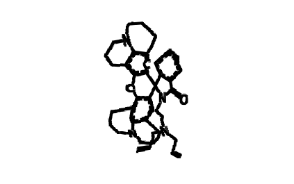 C=CCN(CC=C)CCN1C(=O)c2ccccc2C12c1cc3c4c(c1Oc1c2cc2c5c1CCCN5CCC2)CCCN4CCC3